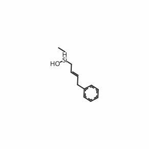 CC[SiH](O)CC=CCc1ccccc1